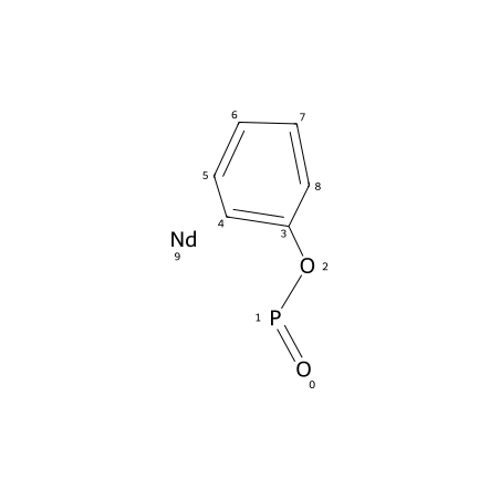 O=POc1ccccc1.[Nd]